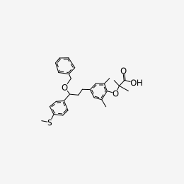 CSc1ccc(C(CCc2cc(C)c(OC(C)(C)C(=O)O)c(C)c2)OCc2ccccc2)cc1